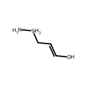 N[SiH2]CC=CO